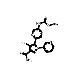 CCCCc1c(C(N)=O)nn(-c2cccnc2)c1-c1cnc(NC(=O)OC(C)(C)C)cn1